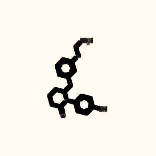 O=C1CCCC(Cc2cccc(OCS(=O)(=O)O)c2)N1c1ccc(O)cc1